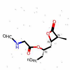 CCCCCCCCCCC[C@@H](C[C@@H]1OC(=O)[C@H]1C)OC(=O)CNC=O